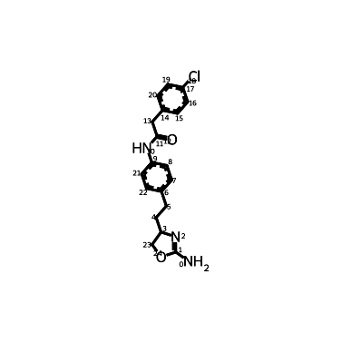 NC1=NC(CCc2ccc(NC(=O)Cc3ccc(Cl)cc3)cc2)CO1